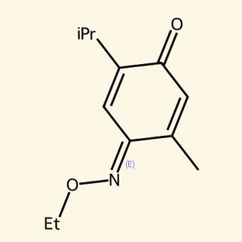 CCO/N=C1\C=C(C(C)C)C(=O)C=C1C